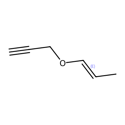 C#CCO/C=C/C